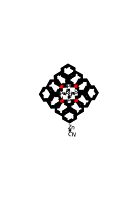 N#[C][Zn].c1ccc([PH](c2ccccc2)(c2ccccc2)[Pd]([PH](c2ccccc2)(c2ccccc2)c2ccccc2)([PH](c2ccccc2)(c2ccccc2)c2ccccc2)[PH](c2ccccc2)(c2ccccc2)c2ccccc2)cc1